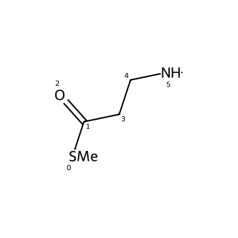 CSC(=O)CC[NH]